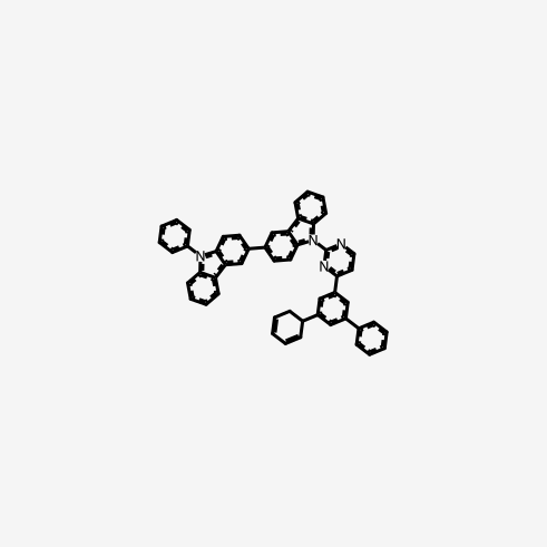 C1=CCC(c2cc(-c3ccccc3)cc(-c3ccnc(-n4c5ccccc5c5cc(-c6ccc7c(c6)c6ccccc6n7-c6ccccc6)ccc54)n3)c2)C=C1